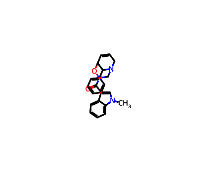 Cn1cc(C(=O)N2CN3CC=CC(O2)C3c2ccccc2)c2ccccc21